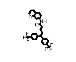 O=C(/C=C/C=C(c1ccc(C(F)(F)F)cc1)c1ccc(C(F)(F)F)cc1)Nc1ccc2cccnc2c1